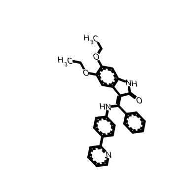 CCOc1cc2c(cc1OCC)C(=C(Nc1ccc(-c3ccccn3)cc1)c1ccccc1)C(=O)N2